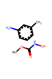 CC(C)(C)OC(=O)NO.Cc1cccc(N)c1